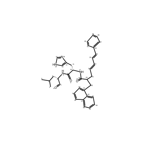 CC(C)C[C@@H](C=O)NC(=O)[C@H](Cc1c[nH]cn1)NC(=O)C(C/C=C/C=C/c1ccccc1)Cc1cccc2ccccc12